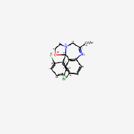 COC1=Nc2ccc(Br)cc2C2(c3ccccc3F)OCCN2C1